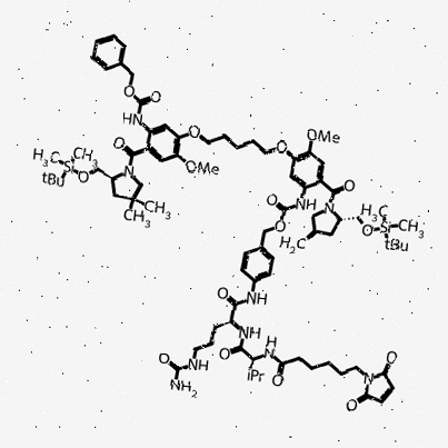 C=C1C[C@@H](CO[Si](C)(C)C(C)(C)C)N(C(=O)c2cc(OC)c(OCCCCCOc3cc(NC(=O)OCc4ccccc4)c(C(=O)N4CC(C)(C)C[C@H]4CO[Si](C)(C)C(C)(C)C)cc3OC)cc2NC(=O)OCc2ccc(NC(=O)[C@H](CCCNC(N)=O)NC(=O)[C@@H](NC(=O)CCCCCN3C(=O)C=CC3=O)C(C)C)cc2)C1